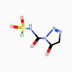 O=C1CN=NN1C(=O)NS(=O)(=O)Cl